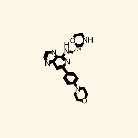 c1cnc2c(NC[C@H]3CNCCO3)nc(-c3ccc(N4CCOCC4)cc3)cc2n1